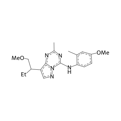 CCC(COC)c1cnn2c(Nc3ccc(OC)cc3C)nc(C)nc12